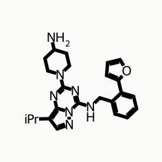 CC(C)c1cnn2c(NCc3ccccc3-c3ccco3)nc(N3CCC(N)CC3)nc12